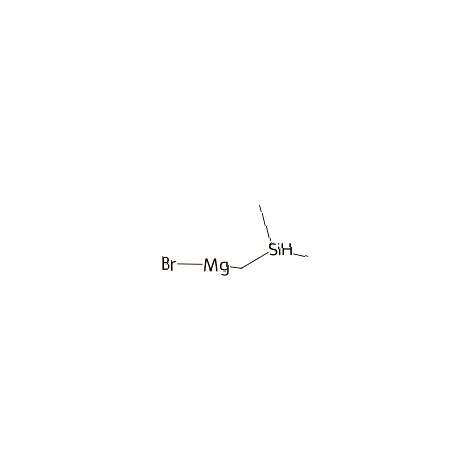 C[SiH](C)[CH2][Mg][Br]